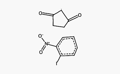 O=C1[CH]C(=O)CC1.O=[N+]([O-])c1ccccc1I